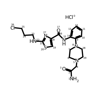 Cl.NC(=O)CN1CCN(c2ccccc2NC(=O)c2csc(NCCCCl)n2)CC1